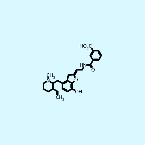 C=CC1CCCN(C)C1Cc1ccc(O)c2c1CC(=CCNC(=O)c1cccc(C(=O)O)c1)O2